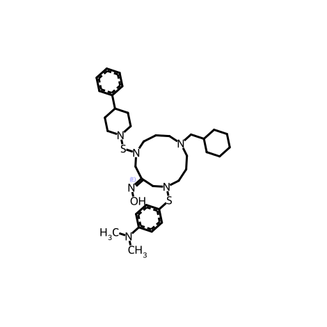 CN(C)c1ccc(SN2CCCN(CC3CCCCC3)CCCN(SN3CCC(c4ccccc4)CC3)C/C(=N/O)C2)cc1